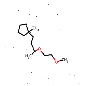 COCCOC(C)CCC1(C)CCCC1